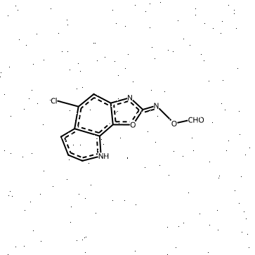 O=CON=c1nc2cc(Cl)c3ccc[nH]c3c2o1